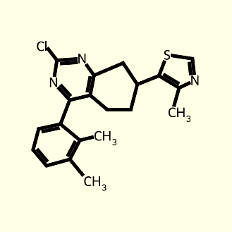 Cc1cccc(-c2nc(Cl)nc3c2CCC(c2scnc2C)C3)c1C